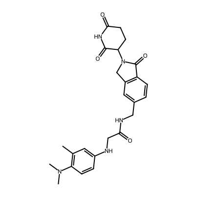 Cc1cc(NCC(=O)NCc2ccc3c(c2)CN(C2CCC(=O)NC2=O)C3=O)ccc1N(C)C